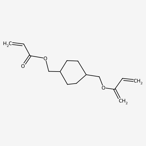 C=CC(=C)OCC1CCC(COC(=O)C=C)CC1